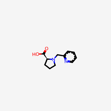 O=C(O)[C@@H]1CCCN1Cc1ccccn1